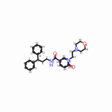 O=C(NCCC(c1ccccc1)c1ccccc1)c1ccc(=O)n(CCN2CCOCC2)c1